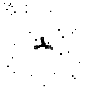 [BiH3].[O]=[Bi][Cl]